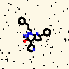 NC(=O)C(c1cccnc1)c1ccc(-c2ccccc2)nc1NCCCc1ccccc1